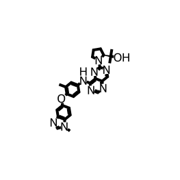 Cc1cc(Nc2ncnc3cnc(N4CCC[C@H]4C(C)(C)O)nc23)ccc1Oc1ccc2c(c1)ncn2C